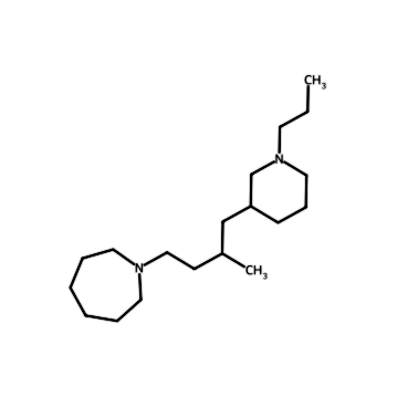 CCCN1CCCC(CC(C)CCN2CCCCCC2)C1